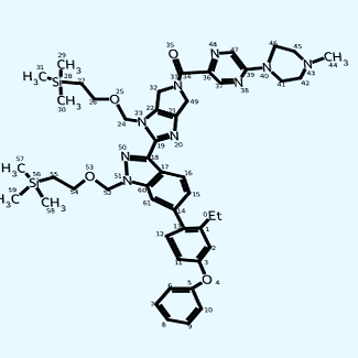 CCc1cc(Oc2ccccc2)ccc1-c1ccc2c(-c3nc4c(n3COCC[Si](C)(C)C)CN(C(=O)c3cnc(N5CCN(C)CC5)cn3)C4)nn(COCC[Si](C)(C)C)c2c1